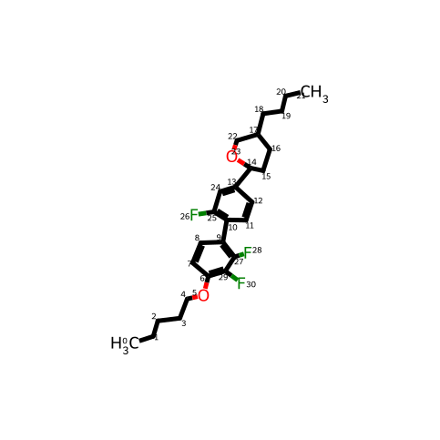 CCCCCOc1ccc(-c2ccc(C3CCC(CCCC)CO3)cc2F)c(F)c1F